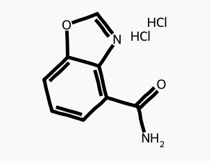 Cl.Cl.NC(=O)c1cccc2ocnc12